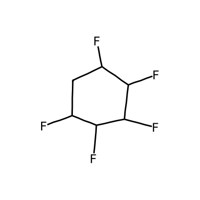 FC1CC(F)C(F)C(F)C1F